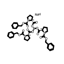 O=C(OB(OC(=O)[C@H]1CCCN1C(=O)OCc1ccccc1)OC(=O)[C@H]1CCCN1C(=O)OCc1ccccc1)[C@H]1CCCN1C(=O)OCc1ccccc1.[NaH]